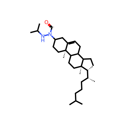 CC(C)CCC[C@@H](C)[C@H]1CCC2C3CC=C4CC(N([C]=O)NC(C)C)CC[C@]4(C)C3CC[C@@]21C